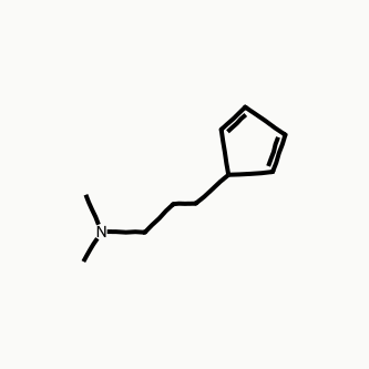 CN(C)CCCC1C=CC=C1